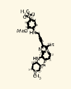 CCc1c(C#CCNc2ccc(S(C)(=O)=O)cc2OC)nc2c(N[C@@H]3CCN(C)C[C@@H]3F)cccn12